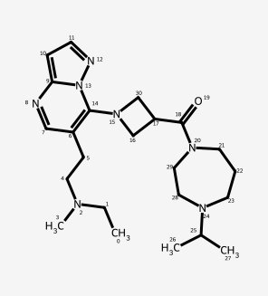 CCN(C)CCc1cnc2ccnn2c1N1CC(C(=O)N2CCCN(C(C)C)CC2)C1